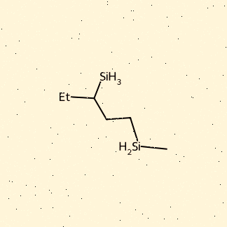 CCC([SiH3])CC[SiH2]C